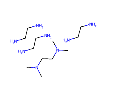 CN(C)CCN(C)C.NCCN.NCCN.NCCN